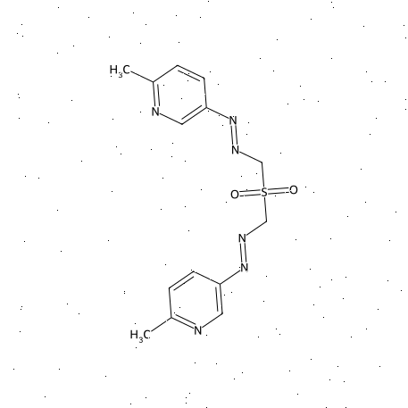 Cc1ccc(N=NCS(=O)(=O)CN=Nc2ccc(C)nc2)cn1